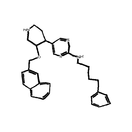 c1ccc(CCCCNc2ncc(C3CCNCC3OCc3ccc4ccccc4c3)cn2)cc1